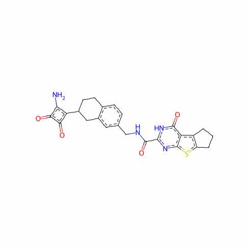 Nc1c(C2CCc3ccc(CNC(=O)c4nc5sc6c(c5c(=O)[nH]4)CCC6)cc3C2)c(=O)c1=O